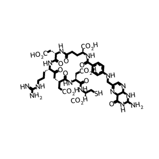 N=C(N)NCCC[C@H](NC(=O)[C@H](CC(=O)O)NC(=O)CC[C@H](NC(=O)c1ccc(NCC2=NC3C(=O)NC(N)NC3N=C2)cc1)C(=O)O)C(=O)C[C@@H](CC(=O)O)C(=O)N[C@@H](CC(=O)O)C(=O)N[C@@H](CS)C(=O)O